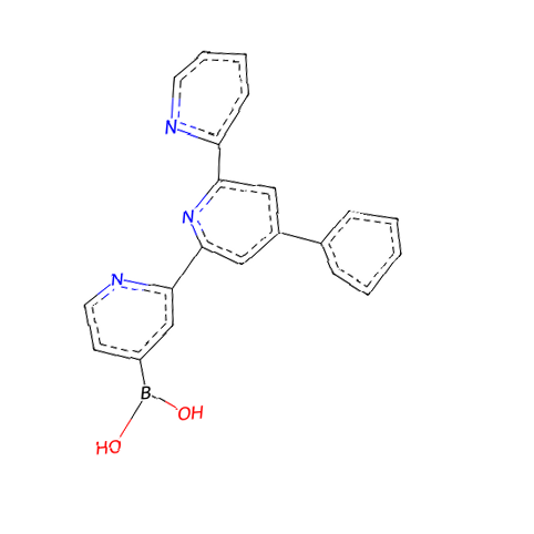 OB(O)c1ccnc(-c2cc(-c3ccccc3)cc(-c3ccccn3)n2)c1